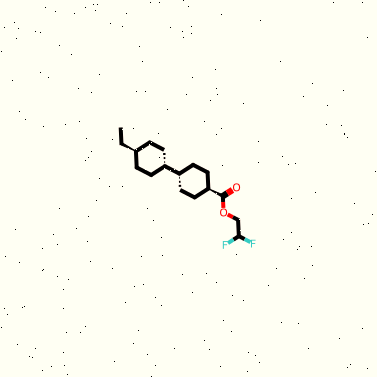 CC[C@H]1CC[C@H]([C@H]2CC[C@H](C(=O)OCC(F)F)CC2)CC1